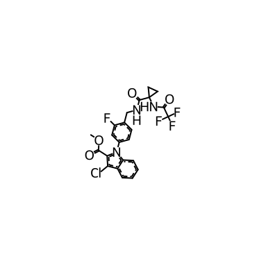 COC(=O)c1c(Cl)c2ccccc2n1-c1ccc(CNC(=O)C2(NC(=O)C(F)(F)F)CC2)c(F)c1